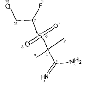 CC(C)(C(=N)N)S(=O)(=O)C(F)CCl